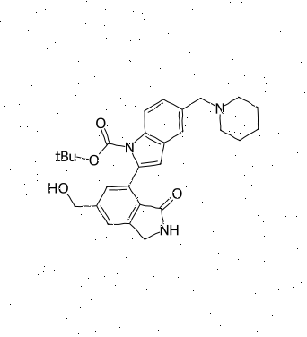 CC(C)(C)OC(=O)n1c(-c2cc(CO)cc3c2C(=O)NC3)cc2cc(CN3CCCCC3)ccc21